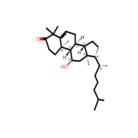 CC(C)CCC[C@@H](C)[C@H]1CC[C@H]2[C@@H]3CC=C4C(C)(C)C(=O)CC[C@]4(C)[C@H]3[C@H](O)C[C@]12C